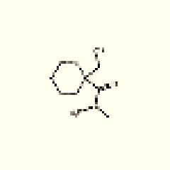 CC(P)C(=O)C1(CO)CCCCO1